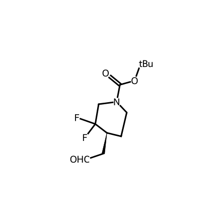 CC(C)(C)OC(=O)N1CC[C@@H](CC=O)C(F)(F)C1